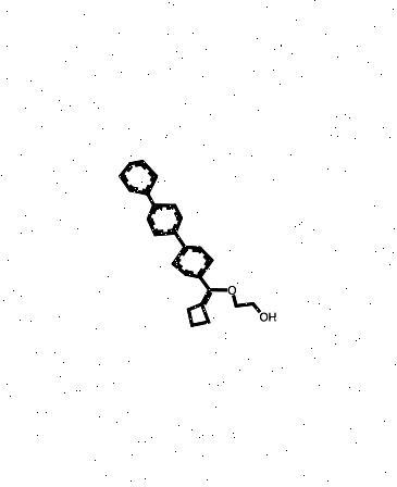 OCCOC(=C1CCC1)c1ccc(-c2ccc(-c3ccccc3)cc2)cc1